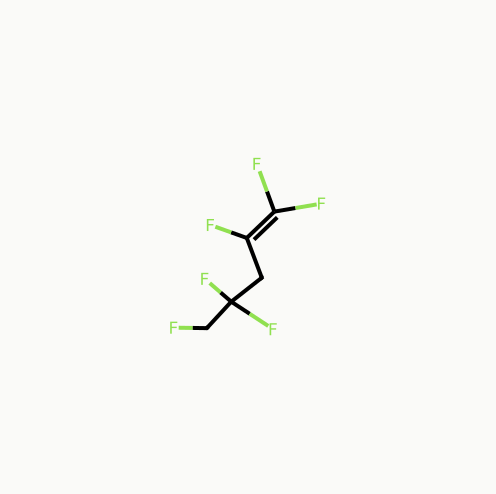 FCC(F)(F)CC(F)=C(F)F